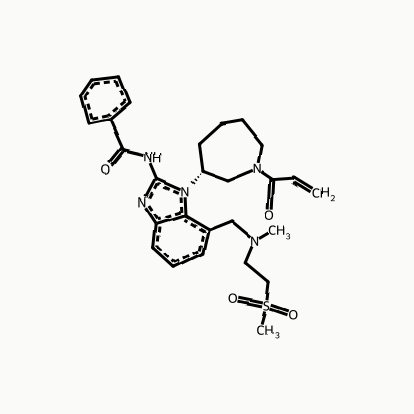 C=CC(=O)N1CCCC[C@@H](n2c(NC(=O)c3ccccc3)nc3cccc(CN(C)CCS(C)(=O)=O)c32)C1